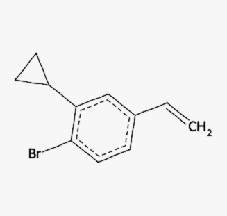 C=Cc1ccc(Br)c(C2CC2)c1